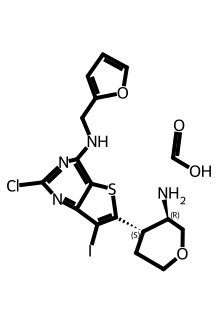 N[C@H]1COCC[C@@H]1c1sc2c(NCc3ccco3)nc(Cl)nc2c1I.O=CO